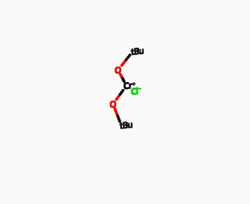 CC(C)(C)[O][Cr+][O]C(C)(C)C.[Cl-]